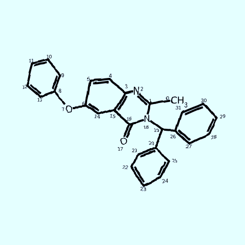 Cc1nc2ccc(Oc3ccccc3)cc2c(=O)n1C(c1ccccc1)c1ccccc1